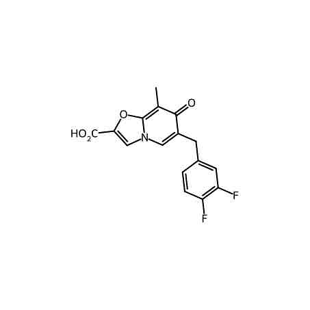 Cc1c(=O)c(Cc2ccc(F)c(F)c2)cn2cc(C(=O)O)oc12